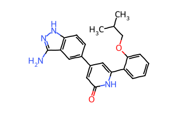 CC(C)COc1ccccc1-c1cc(-c2ccc3[nH]nc(N)c3c2)cc(=O)[nH]1